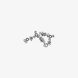 COc1cc(OCc2csc(N3CCCOC(COc4nn5cc(-c6cc7c(OCc8csc(-c9ccc%10c(c9)OCO%10)n8)cc(OC)cc7o6)nc5s4)C3)n2)c2cc(-c3cn4nc(OC)sc4n3)oc2c1